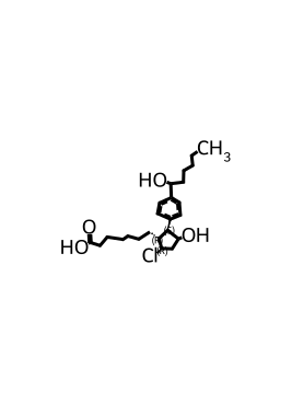 CCCCCC(O)c1ccc([C@H]2C(O)C[C@@H](Cl)[C@@H]2CCCCCCC(=O)O)cc1